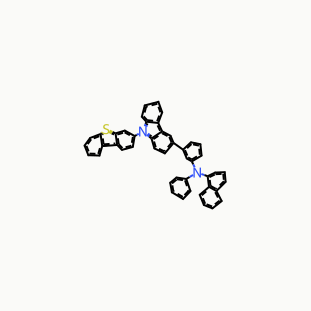 c1ccc(N(c2cccc(-c3ccc4c(c3)c3ccccc3n4-c3ccc4c(c3)sc3ccccc34)c2)c2cccc3ccccc23)cc1